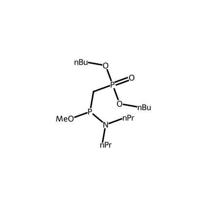 CCCCOP(=O)(CP(OC)N(CCC)CCC)OCCCC